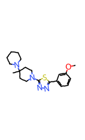 COc1cccc(-c2nnc(N3CCC(C)(N4CCCCC4)CC3)s2)c1